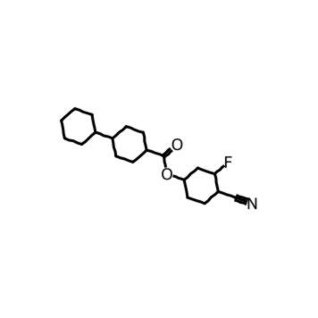 N#CC1CCC(OC(=O)C2CCC(C3CCCCC3)CC2)CC1F